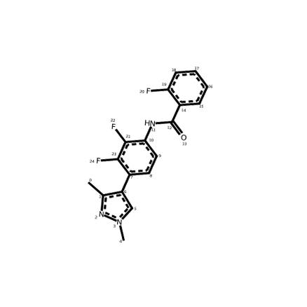 Cc1nn(C)cc1-c1ccc(NC(=O)c2ccccc2F)c(F)c1F